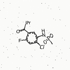 CC(C)C(=O)c1cc(NS(C)(=O)=O)c(Cl)cc1F